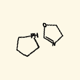 C1=NCCO1.C1CCPC1